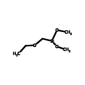 CCOC[Si](OC)OC